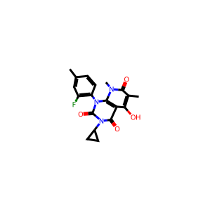 Cc1ccc(-n2c(=O)n(C3CC3)c(=O)c3c(O)c(C)c(=O)n(C)c32)c(F)c1